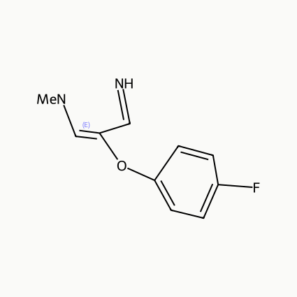 CN/C=C(\C=N)Oc1ccc(F)cc1